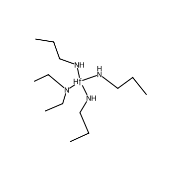 CCC[NH][Hf]([NH]CCC)([NH]CCC)[N](CC)CC